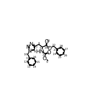 COC(=O)NC(Cc1cn(Cc2ccccc2)nn1)C(=O)OCc1ccccc1